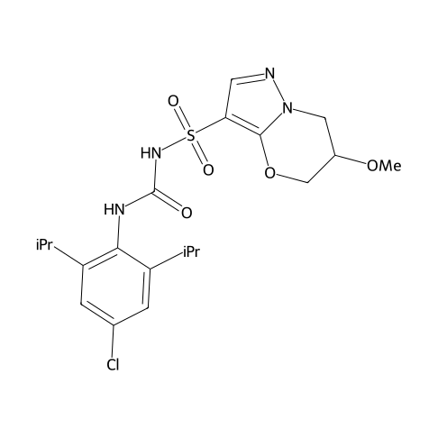 COC1COc2c(S(=O)(=O)NC(=O)Nc3c(C(C)C)cc(Cl)cc3C(C)C)cnn2C1